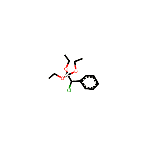 CCO[Si](OCC)(OCC)C(Cl)c1ccccc1